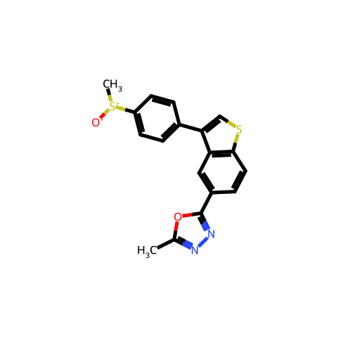 Cc1nnc(-c2ccc3scc(-c4ccc([S+](C)[O-])cc4)c3c2)o1